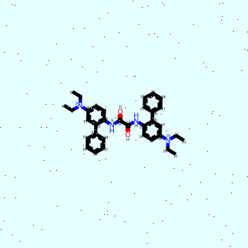 CCN(CC)c1ccc(NC(=O)C(=O)Nc2ccc(N(CC)CC)cc2-c2ccccc2)c(-c2ccccc2)c1